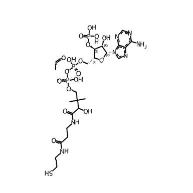 CC(C)(COP(=O)(O)OP(=O)(O)OC[C@H]1O[C@@H](n2cnc3c(N)ncnc32)[C@H](O)[C@@H]1OP(=O)(O)O)C(O)C(=O)NCCC(=O)NCCS.CC=O